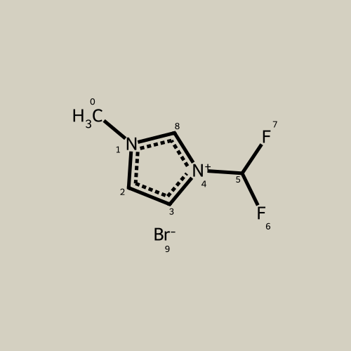 Cn1cc[n+](C(F)F)c1.[Br-]